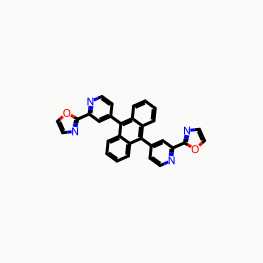 c1ccc2c(-c3ccnc(-c4ncco4)c3)c3ccccc3c(-c3ccnc(-c4ncco4)c3)c2c1